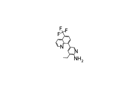 CCc1cc(-c2ccc(C(F)(F)F)c3cccnc23)cnc1N